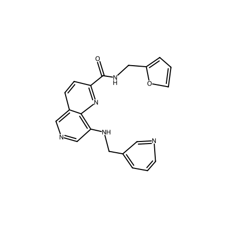 O=C(NCc1ccco1)c1ccc2cncc(NCc3cccnc3)c2n1